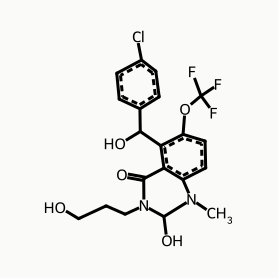 CN1c2ccc(OC(F)(F)F)c(C(O)c3ccc(Cl)cc3)c2C(=O)N(CCCO)C1O